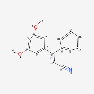 COc1cc(OC)cc(/C(=C/C#N)c2ccccc2)c1